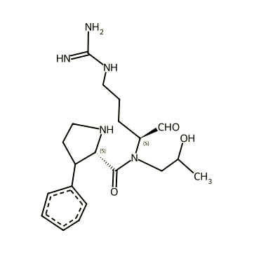 CC(O)CN(C(=O)[C@H]1NCCC1c1ccccc1)[C@H](C=O)CCCNC(=N)N